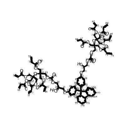 C=CC(=O)OCC(COC(=O)C=C)(COC(=O)C=C)OC(COC(=O)C=C)(COC(=O)C=C)COC(=O)OCC(O)COc1ccc(C2(c3ccc(OCC(O)COC(=O)OCC(COC(=O)C=C)(COC(=O)C=C)OC(COC(=O)C=C)(COC(=O)C=C)COC(=O)C=C)cc3)c3ccccc3-c3ccccc32)cc1